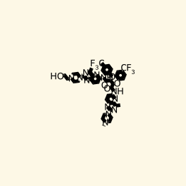 Cc1nc(N2CCN(C)CC2)nc2ccc(NC(=O)C(Oc3ccc(C(F)(F)F)cc3)C(Oc3ccc(C(F)(F)F)cc3)C(=O)Nc3ccc4nc(N5CCN(CCO)CC5)nc(C)c4n3)nc12